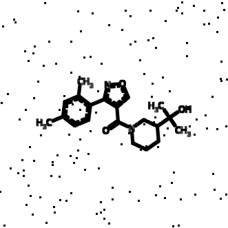 Cc1ccc(-c2nocc2C(=O)N2CCCC(C(C)(C)O)C2)c(C)c1